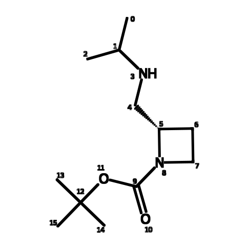 CC(C)NC[C@@H]1CCN1C(=O)OC(C)(C)C